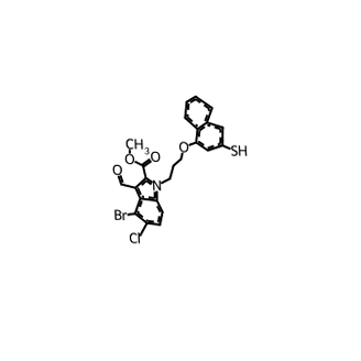 COC(=O)c1c(C=O)c2c(Br)c(Cl)ccc2n1CCCOc1cc(S)cc2ccccc12